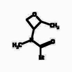 CCC(=O)N(C)C1COC1C